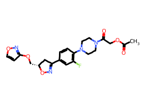 CC(=O)OCC(=O)N1CCN(c2ccc(C3=NO[C@H](COc4ccon4)C3)cc2F)CC1